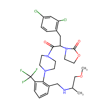 COCC(C)NCc1cccc(C(F)(F)F)c1N1CCN(C(=O)C(Cc2ccc(Cl)cc2Cl)N2CCOC2=O)CC1